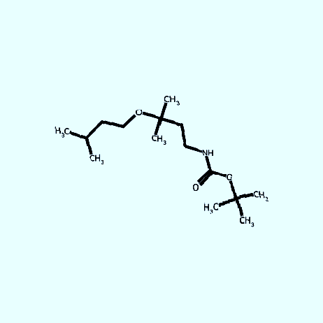 CC(C)CCOC(C)(C)CCNC(=O)OC(C)(C)C